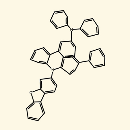 c1ccc(-c2ccc(N(c3ccc4c(c3)oc3ccccc34)c3ccccc3-c3cccc(N(c4ccccc4)c4ccccc4)c3)cc2)cc1